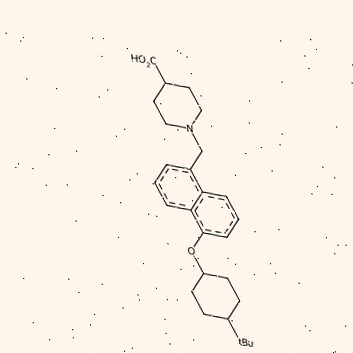 CC(C)(C)C1CCC(Oc2cccc3c(CN4CCC(C(=O)O)CC4)cccc23)CC1